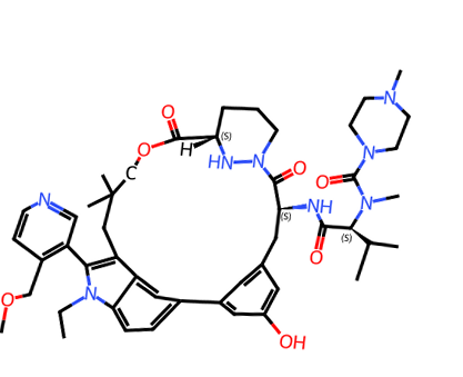 CCn1c(-c2cnccc2COC)c2c3cc(ccc31)-c1cc(O)cc(c1)C[C@H](NC(=O)[C@H](C(C)C)N(C)C(=O)N1CCN(C)CC1)C(=O)N1CCC[C@H](N1)C(=O)OCC(C)(C)C2